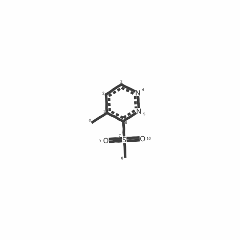 Cc1ccnnc1S(C)(=O)=O